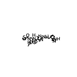 CCCOC(=O)C(CNC(=O)c1cccs1)NC(=O)c1c(C)nc(NCCCc2cccc3[nH]ncc23)nc1C